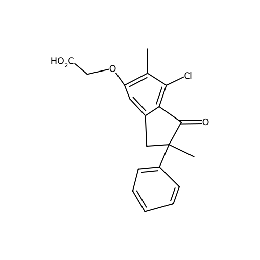 Cc1c(OCC(=O)O)cc2c(c1Cl)C(=O)C(C)(c1ccccc1)C2